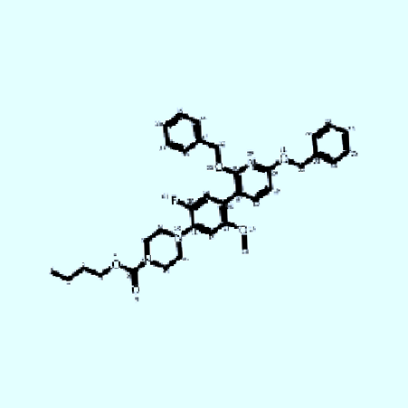 CCCCOC(=O)N1CCN(c2cc(OC)c(-c3ccc(OCc4ccccc4)nc3OCc3ccccc3)cc2F)CC1